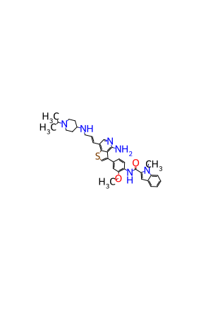 COc1cc(-c2csc3c(/C=C/CNC4CCN(C(C)C)CC4)cnc(N)c23)ccc1NC(=O)c1cc2ccccc2n1C